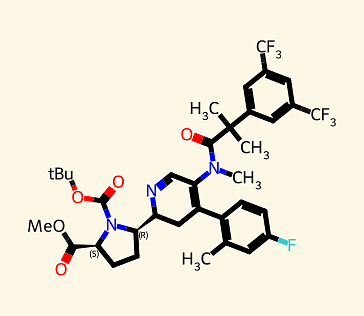 COC(=O)[C@@H]1CC[C@H](C2CC(c3ccc(F)cc3C)=C(N(C)C(=O)C(C)(C)c3cc(C(F)(F)F)cc(C(F)(F)F)c3)C=N2)N1C(=O)OC(C)(C)C